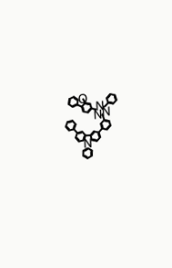 c1ccc(-c2ccc3c(c2)c2cc(-c4cccc(-c5nc(-c6ccccc6)nc(-c6ccc7c(c6)oc6ccccc67)n5)c4)ccc2n3-c2ccccc2)cc1